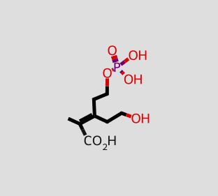 C/C(C(=O)O)=C(/CCO)CCOP(=O)(O)O